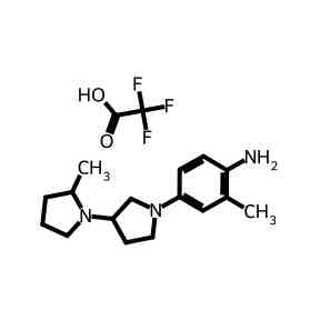 Cc1cc(N2CCC(N3CCCC3C)C2)ccc1N.O=C(O)C(F)(F)F